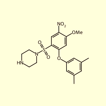 COc1cc(Oc2cc(C)cc(C)c2)c(S(=O)(=O)N2CCNCC2)cc1[N+](=O)[O-]